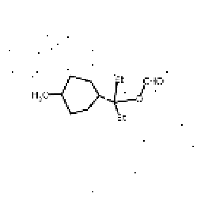 CCC(CC)(O[C]=O)C1CCC(C)CC1